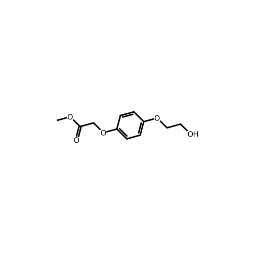 COC(=O)COc1ccc(OCCO)cc1